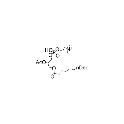 CCCCCCCCCCCCCCCC(=O)OCC(COP(=O)(O)OCC[N+](C)(C)C)OC(C)=O